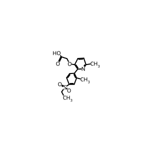 CCS(=O)(=O)c1ccc(-c2nc(C)ccc2OCC(=O)O)c(C)c1